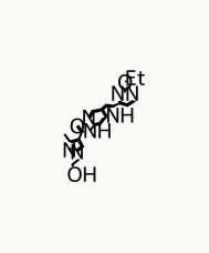 CCOc1nccc(-c2cc3cnc(NC(=O)c4cn(CCO)nc4C)cc3[nH]2)n1